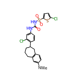 CNc1ccc2c(c1)CCCC(c1ccc(NC(=O)NS(=O)(=O)c3ccc(Cl)s3)cc1Cl)C2